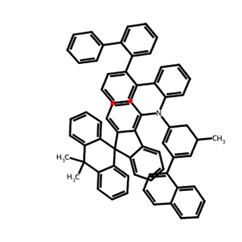 CC1C=C(c2cccc3ccccc23)C=C(N(c2ccccc2-c2ccccc2-c2ccccc2-c2ccccc2)c2cccc3c2-c2ccccc2C32c3ccccc3C(C)(C)c3ccccc32)C1